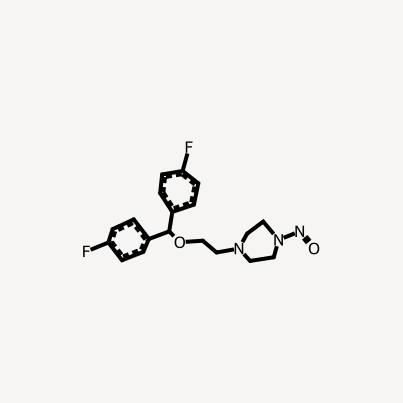 O=NN1CCN(CCOC(c2ccc(F)cc2)c2ccc(F)cc2)CC1